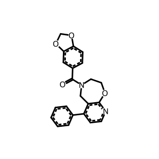 O=C(c1ccc2c(c1)OCO2)N1CCOc2nccc(-c3ccccc3)c2C1